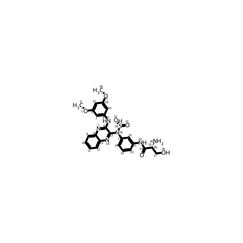 COc1cc(Nc2nc3ccccc3nc2N(c2cccc(NC(=O)[C@H](N)CO)c2)[SH](=O)=O)cc(OC)c1